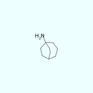 NC12CCCC(CC1)CC2